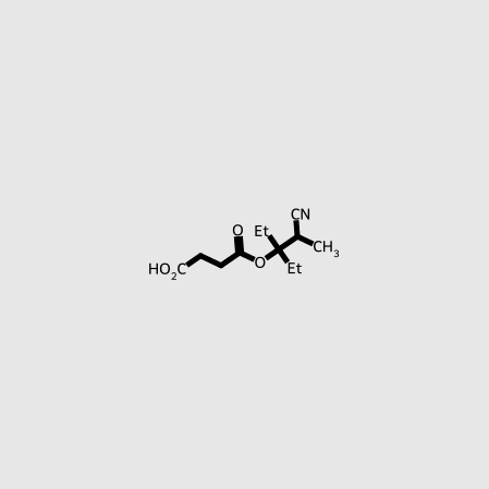 CCC(CC)(OC(=O)CCC(=O)O)C(C)C#N